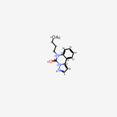 CC(=O)OCCCn1c(=O)n2nccc2c2ccccc21